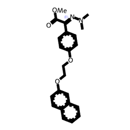 COC(=O)/C(=N/N(C)C)c1ccc(OCCOc2ccc3ccccc3c2)cc1